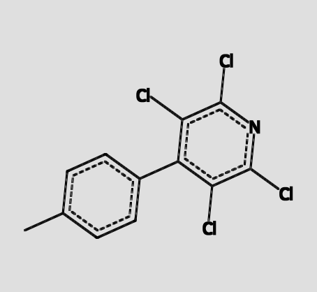 Cc1ccc(-c2c(Cl)c(Cl)nc(Cl)c2Cl)cc1